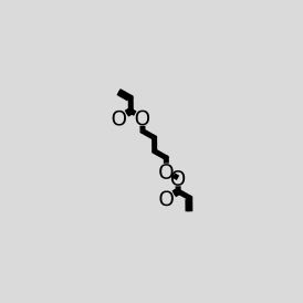 C=CC(=O)OCCCCOOC(=O)C=C